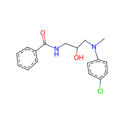 CN(CC(O)CNC(=O)c1ccccc1)c1ccc(Cl)cc1